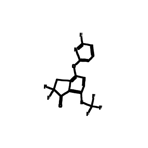 O=C1c2c(SC(F)(F)F)ccc(Oc3cccc(F)n3)c2CC1(F)F